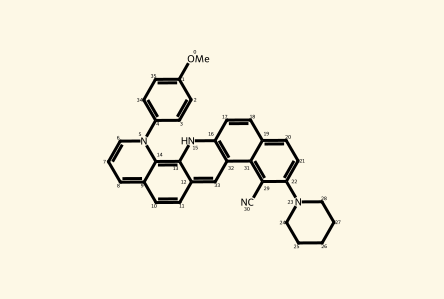 COc1ccc(N2C=CC=c3ccc4c(c32)Nc2ccc3ccc(N5CCCCC5)c(C#N)c3c2C=4)cc1